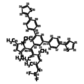 CC(=C/C(C)=N/B(F)F)/C(C)=C(\c1cc(-c2ccc(-c3cccs3)cc2)cc(-c2ccc(-c3cccs3)cc2)c1)c1c(C)cc(C)n1C